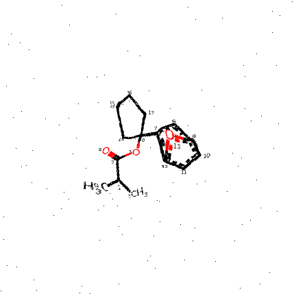 CC(C)C(=O)OC1(c2cc3ccc2o3)CCCC1